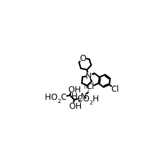 NC[C@@H]1CC[N+](Cc2ccc(Cl)cc2Cl)(C2CCOCC2)C1.O=C(O)C(O)C(O)C(=O)O